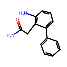 NC(=O)Cc1c(N)cccc1-c1ccccc1